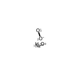 O.[Ni+2].[O-][O-]